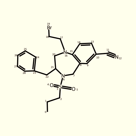 CCCS(=O)(=O)N1Cc2cc(C#N)ccc2N(CCBr)CC1Cc1ccccc1